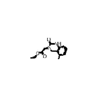 CCOC(=O)CN1Cc2c(C)cccc2NC1=O